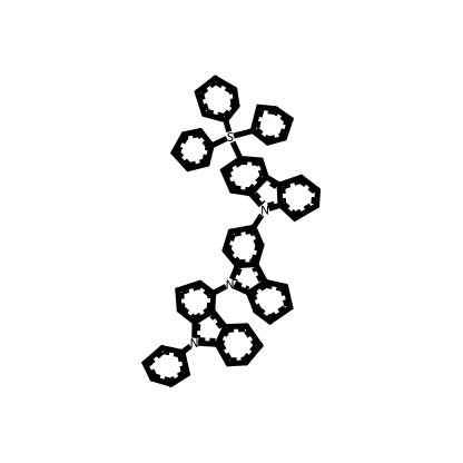 c1ccc(-n2c3ccccc3c3c(-n4c5ccccc5c5cc(-n6c7ccccc7c7cc(S(c8ccccc8)(c8ccccc8)c8ccccc8)ccc76)ccc54)cccc32)cc1